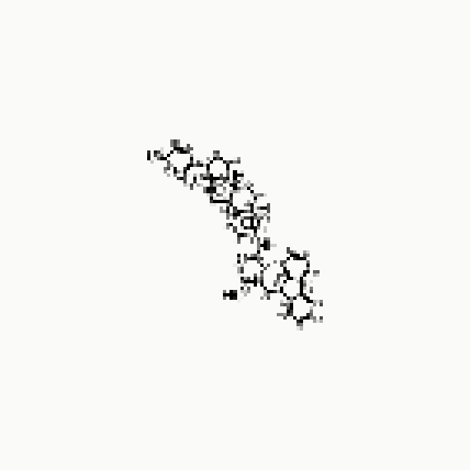 C[C@]12CC[C@@H](NC(=O)CN(CC3c4ccccc4-c4ccccc43)C(=O)O)C[C@H]1CC[C@@H]1[C@@H]2CC[C@]2(C)[C@@H](c3ccc(=O)oc3)CC[C@]12O